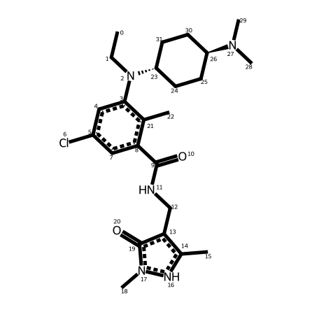 CCN(c1cc(Cl)cc(C(=O)NCc2c(C)[nH]n(C)c2=O)c1C)[C@H]1CC[C@H](N(C)C)CC1